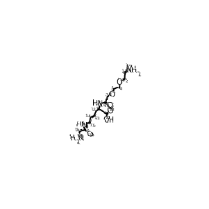 NCCOCCOCC(=O)NC(CCCCNC(=O)CN)C(=O)O